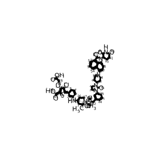 CC1(C)C[C@@H](Nc2cccc(-c3sc(C(=O)O)c(OCC(=O)O)c3Cl)c2)CCN1S(=O)(=O)Cc1cccc(N2CCN(C3CCN(c4ccc5c6c(cccc46)C(=O)N5C4CCC(=O)NC4=O)CC3)C2=O)c1